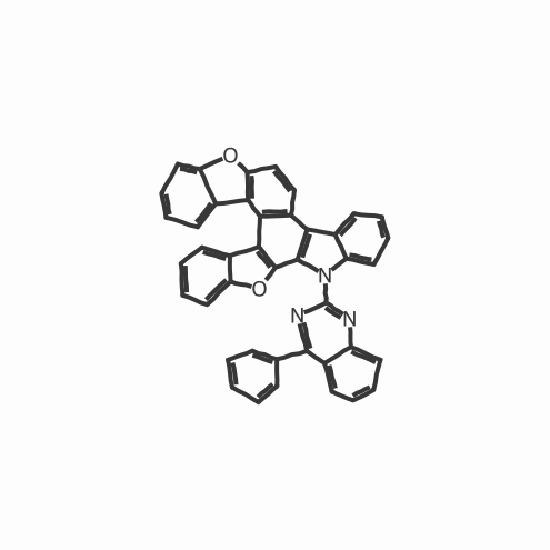 c1ccc(-c2nc(-n3c4ccccc4c4c5ccc6oc7ccccc7c6c5c5c6ccccc6oc5c43)nc3ccccc23)cc1